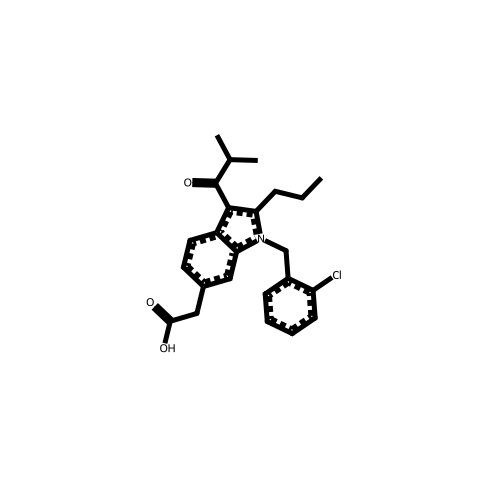 CCCc1c(C(=O)C(C)C)c2ccc(CC(=O)O)cc2n1Cc1ccccc1Cl